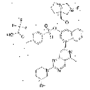 Cc1ccc(S(=O)(=O)Oc2cc(-c3cc4nc(N5CCC[C@@H](O)C5)ncc4c(C)n3)c3ccccc3c2OC[C@@]23CCCN2C[C@H](F)C3)cc1.O=C(O)C(F)(F)F